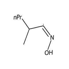 CCCC(C)/[C]=N\O